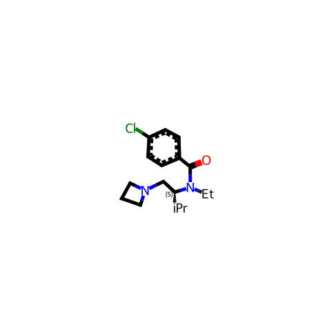 CCN(C(=O)c1ccc(Cl)cc1)[C@H](CN1CCC1)C(C)C